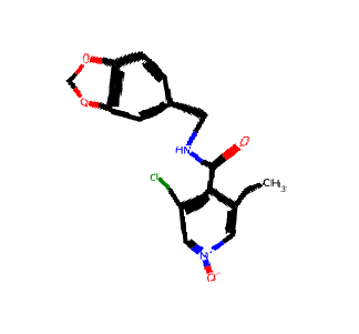 Cc1c[n+]([O-])cc(Cl)c1C(=O)NCc1ccc2c(c1)OCO2